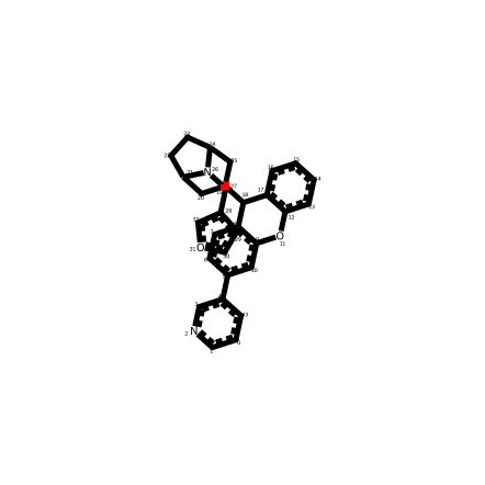 c1cncc(-c2ccc3c(c2)Oc2ccccc2C3C2CC3CCC(C2)N3Cc2ccoc2)c1